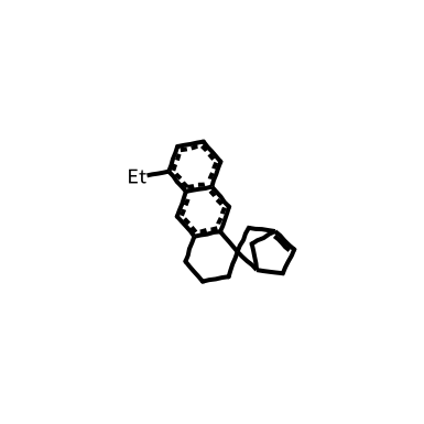 CCc1cccc2cc3c(cc12)CCCC31CC2=CCC1C2